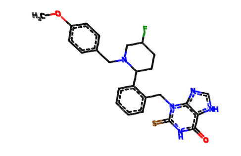 COc1ccc(CN2CC(F)CCC2c2ccccc2Cn2c(=S)[nH]c(=O)c3[nH]cnc32)cc1